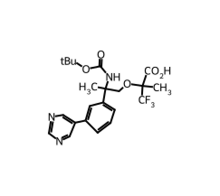 CC(C)(C)OC(=O)NC(C)(COC(C)(C(=O)O)C(F)(F)F)c1cccc(-c2cncnc2)c1